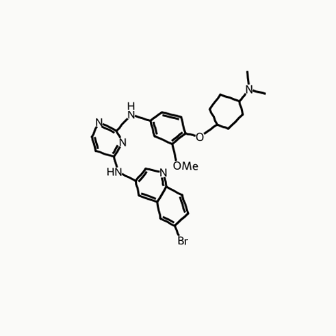 COc1cc(Nc2nccc(Nc3cnc4ccc(Br)cc4c3)n2)ccc1OC1CCC(N(C)C)CC1